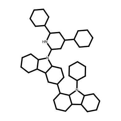 C1CCC(C2CC(C3CCCCC3)NC(N3C4CCCCC4C4CC(C5CCCC6C7CCCCC7N(C7CCCCC7)C56)CCC43)C2)CC1